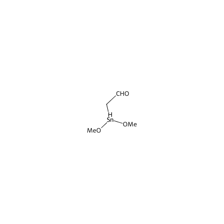 C[O][SnH]([CH2]C=O)[O]C